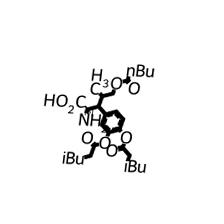 CCCCC(=O)OCC(C)C(c1ccc(OC(=O)CC(C)CC)c(OC(=O)CC(C)CC)c1)[C@H](N)C(=O)O